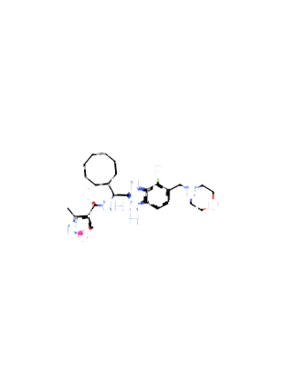 Cc1nocc1C(=O)NC(c1nc2c(F)c(CN3CCOCC3)ccc2[nH]1)C1CCCCCCC1